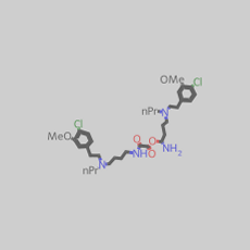 CCCN(CCCCNC(=O)C(=O)OC(N)CCCN(CCC)CCc1ccc(Cl)c(OC)c1)CCc1ccc(Cl)c(OC)c1